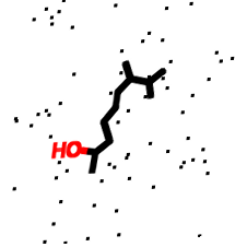 CC(O)CCCCC(C)C(C)C